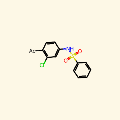 CC(=O)c1ccc(NS(=O)(=O)c2ccccc2)cc1Cl